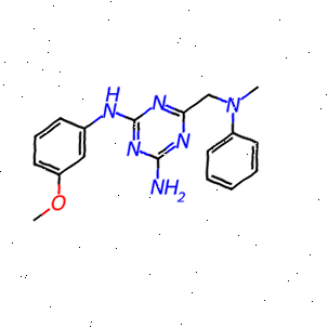 COc1cccc(Nc2nc(N)nc(CN(C)c3ccccc3)n2)c1